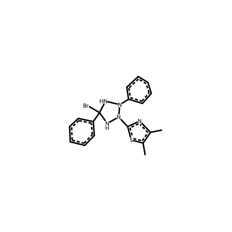 Cc1nc(N2NC(Br)(c3ccccc3)NN2c2ccccc2)sc1C